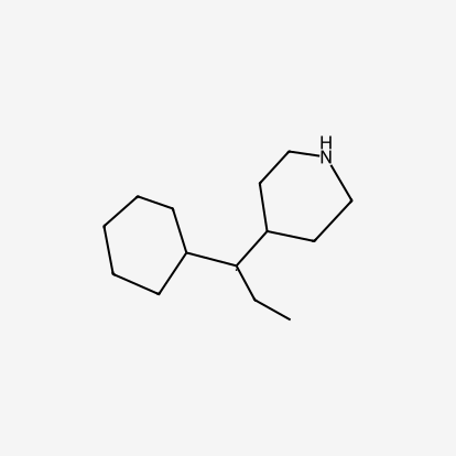 CC[C](C1CCCCC1)C1CCNCC1